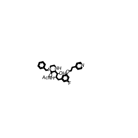 CC(=O)N[C@@H](Cc1cc(F)cc(OCCc2ccncc2)c1)[C@H](O)[C@@H]1NCCN(Cc2ccccc2)C1=O